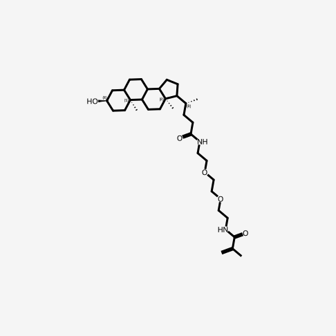 C=C(C)C(=O)NCCOCCOCCNC(=O)CC[C@@H](C)C1CCC2C3CCC4C[C@H](O)CC[C@]4(C)C3CC[C@@]21C